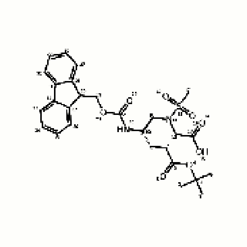 CC(C)(C)OC(=O)CC[C@@H](CN(CC(=O)O)S(C)(=O)=O)NC(=O)OCC1c2ccccc2-c2ccccc21